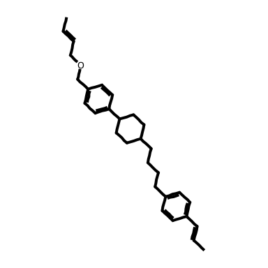 CC=CCOCc1ccc(C2CCC(CCCCc3ccc(C=CC)cc3)CC2)cc1